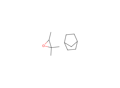 C1CC2CCC1C2.CC1OC1(C)C